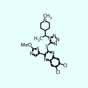 COc1ncc(-c2nc3cc(Cl)c(Cl)cc3nc2Sc2nnnn2C(C)C2CCN(C)CC2)s1